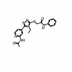 CCn1c(SCC(=O)Nc2ccccc2)nnc1-c1ccnc(NC(C)=O)c1